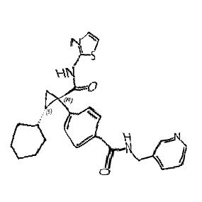 O=C(NCc1cccnc1)c1ccc([C@@]2(C(=O)Nc3nccs3)C[C@H]2C2CCCCC2)cc1